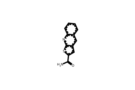 NC(=O)c1cc2cc3ccccc3nc2s1